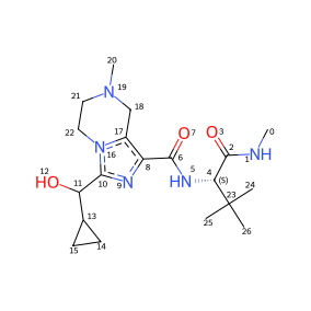 CNC(=O)[C@@H](NC(=O)c1nc(C(O)C2CC2)n2c1CN(C)CC2)C(C)(C)C